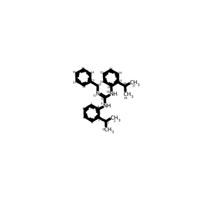 CC(C)c1ccccc1NC(=NCc1ccccc1)Nc1ccccc1C(C)C